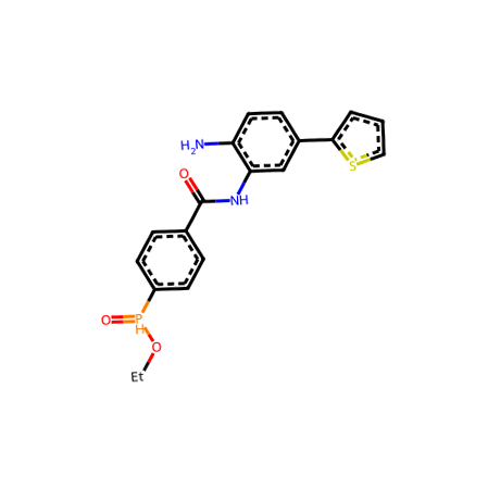 CCO[PH](=O)c1ccc(C(=O)Nc2cc(-c3cccs3)ccc2N)cc1